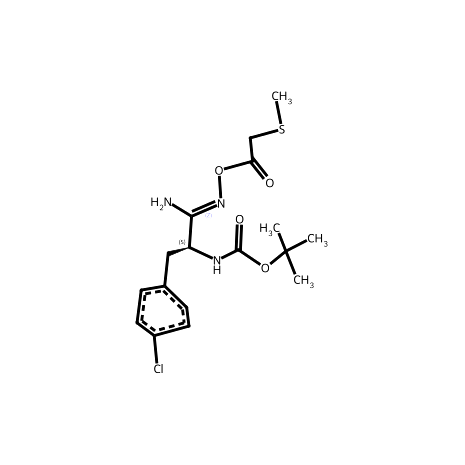 CSCC(=O)O/N=C(\N)[C@H](Cc1ccc(Cl)cc1)NC(=O)OC(C)(C)C